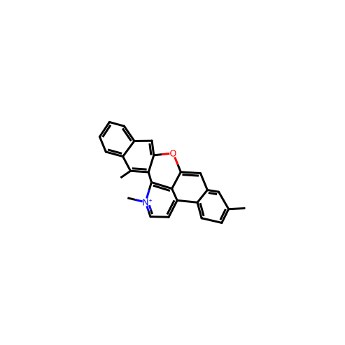 Cc1ccc2c(c1)cc1c3c([n+](C)ccc32)-c2c(cc3ccccc3c2C)O1